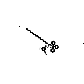 CCCCCCCCCCCCCCCCCC[C@H](COC(c1ccccc1)(c1ccccc1)c1ccccc1)OCc1cc(F)cc(C#N)c1